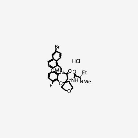 CC[C@H](NC)C(=O)N[C@H]1C(=O)N(Cc2c(OC)ccc3cc(Br)ccc23)c2cccc(F)c2OC12CCOCC2.Cl